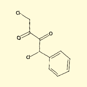 O=C(CCl)C(=O)C(Cl)c1ccccc1